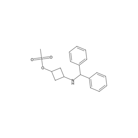 CS(=O)(=O)OC1CC(NC(c2ccccc2)c2ccccc2)C1